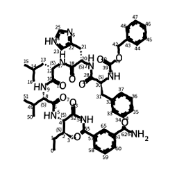 CC[C@H](C)[C@H](NC(=O)[C@@H](NC(=O)[C@H](CC(C)C)NC(=O)[C@H](Cc1c[nH]cn1)NC(=O)[C@H](Cc1ccccc1)NC(=O)OCc1ccccc1)C(C)C)C(=O)NC(=O)c1cccc(C(N)=O)c1